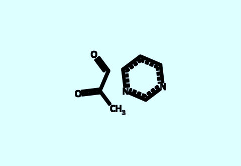 CC(=O)C=O.c1cncnc1